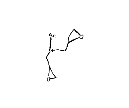 CC(=O)N(CC1CO1)CC1CO1